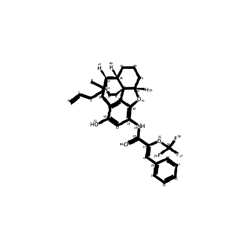 C=CC[N+]1(C)CC[C@]23c4c5c(O)cc(NC(=O)C(=Cc6ccccc6)OC(F)(F)F)c4O[C@H]2CCC[C@H]3[C@H]1C5